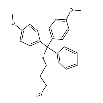 COc1ccc(C(SCCCO)(c2ccccc2)c2ccc(OC)cc2)cc1